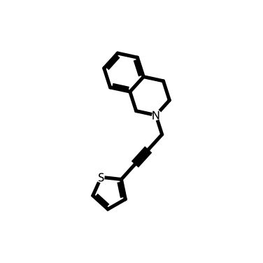 C(#Cc1cccs1)CN1CCc2ccccc2C1